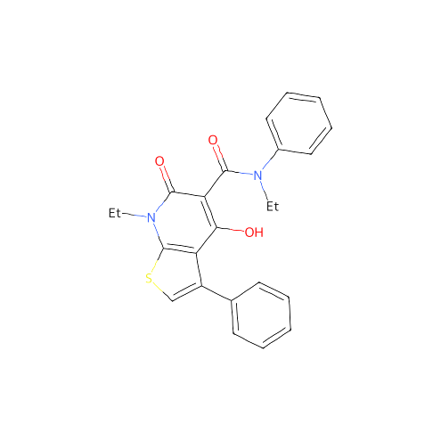 CCN(C(=O)c1c(O)c2c(-c3ccccc3)csc2n(CC)c1=O)c1ccccc1